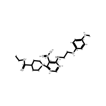 CCOC(=O)C1CCN(c2ncnc(NCCOc3ccc(OC)cc3)c2[N+](=O)[O-])CC1